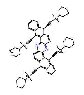 C[Si](C)(C#Cc1c2ccccc2c(C#C[Si](C)(C)C2CCCCC2)c2c1ccc1nc3c(ccc4c(C#C[Si](C)(C)C5CCCCC5)c5ccccc5c(C#C[Si](C)(C)C5CCCCC5)c43)nc12)C1CCCCC1